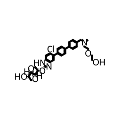 CN(CCOCCO)Cc1ccc(-c2ccc(-c3cc4nc(O[C@@H]5CO[C@H]6[C@@H]5OC[C@H]6O)[nH]c4cc3Cl)cc2)cc1